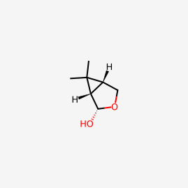 CC1(C)[C@@H]2[C@H]1CO[C@@H]2O